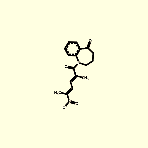 C/C(=C\C=C(/C)[N+](=O)[O-])C(=O)N1CCCC(=O)c2ccccc21